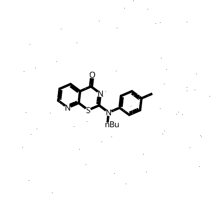 CCCCN(c1ccc(C)cc1)c1nc(=O)c2cccnc2s1